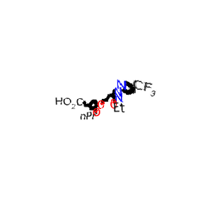 CCCOc1cc(CCC(=O)O)ccc1OCCCc1cn(-c2ccc(C(F)(F)F)cn2)nc1OCC